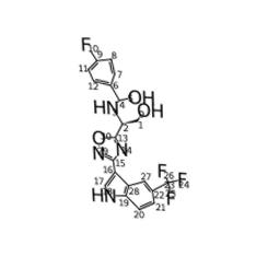 OC[C@H](NC(O)c1ccc(F)cc1)c1nc(-c2c[nH]c3ccc(C(F)(F)F)cc23)no1